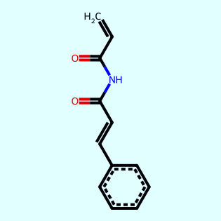 C=CC(=O)NC(=O)/C=C/c1ccccc1